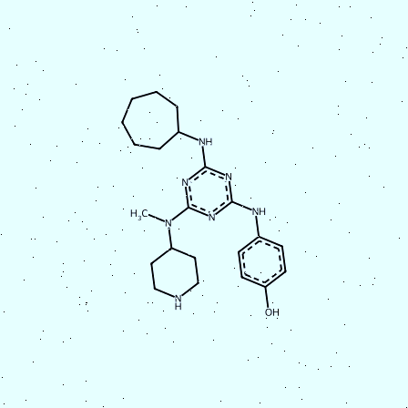 CN(c1nc(Nc2ccc(O)cc2)nc(NC2CCCCCC2)n1)C1CCNCC1